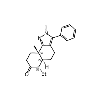 CC[C@@H]1C(=O)CC[C@]2(C)c3nn(C)c(-c4ccccc4)c3CC[C@@H]12